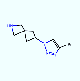 CC(C)(C)c1cn(C2CC3(CNC3)C2)nn1